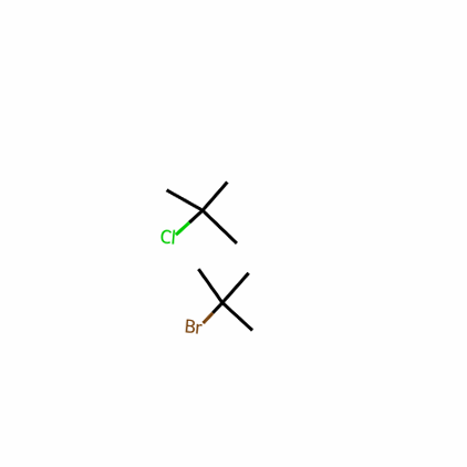 CC(C)(C)Br.CC(C)(C)Cl